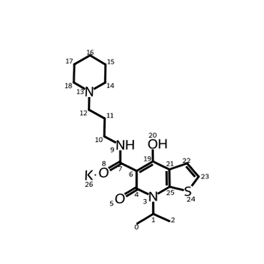 CC(C)n1c(=O)c(C(=O)NCCCN2CCCCC2)c(O)c2ccsc21.[K]